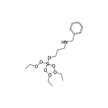 CCOO[Si](OCCCNCc1ccccc1)(OOCC)OOCC